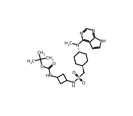 CN(c1ncnc2[nH]ccc12)[C@H]1CC[C@H](CS(=O)(=O)NC2CC(NC(=O)OC(C)(C)C)C2)CC1